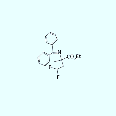 CCOC(=O)C(C)(CC(F)F)N=C(c1ccccc1)c1ccccc1